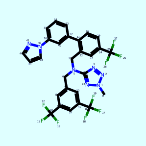 Cn1nnc(N(Cc2cc(C(F)(F)F)cc(C(F)(F)F)c2)Cc2cc(C(F)(F)F)ccc2-c2cccc(-n3cccn3)c2)n1